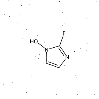 On1ccnc1F